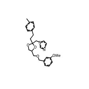 COc1cccc(COCC2COC(CCc3ccc(C)cc3)(Cn3ccnc3)O2)c1